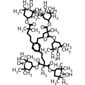 CC(C)(CCCc1ccc(CCCC(C)(C(=O)OC2CC(C)(C)N(O)C(C)(C)C2)C(=O)OC2CC(C)(C)N(O)C(C)(C)C2)cc1CCCC(C)(C(=O)OC1CC(C)(C)N(O)C(C)(C)C1)C(=O)OC1CC(C)(C)N(O)C(C)(C)C1)C(=O)OC1CC(C)(C)N(O)C(C)(C)C1